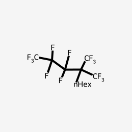 CCCCCCC(C(F)(F)F)(C(F)(F)F)C(F)(F)C(F)(F)C(F)(F)F